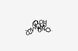 C[C@H]1CN(CCn2c(=O)c(C(=O)N[C@H]3CC[C@@H](C)CC3)c(O)c3cccnc32)CCO1